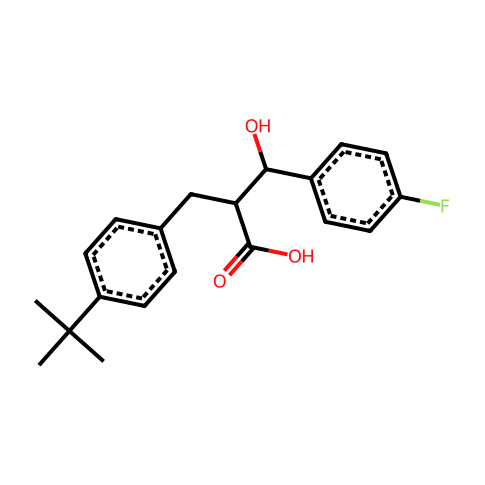 CC(C)(C)c1ccc(CC(C(=O)O)C(O)c2ccc(F)cc2)cc1